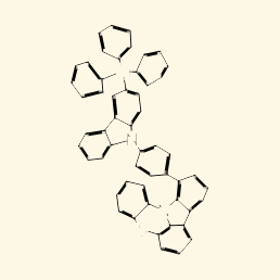 c1ccc([Si](c2ccccc2)(c2ccccc2)c2ccc3c(c2)c2ccccc2n3-c2ccc(-c3cccc4c5cccc6c5n(c34)-c3ccccc3S6)cc2)cc1